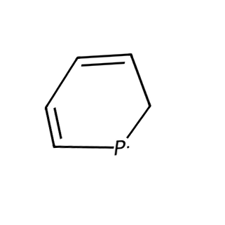 C1=CC[P]C=C1